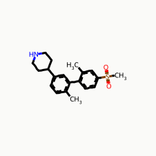 Cc1cc(S(C)(=O)=O)ccc1-c1cc(C2CCNCC2)ccc1C